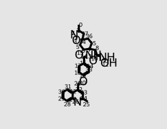 CC1=NOC2(CCC(CC(=O)NO)(NC(=O)c3ccc(OCc4cc(C)nc5ccccc45)cc3)CC2)C1